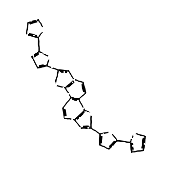 c1csc(-c2ccc(-c3cc4ccc5c(ccc6cc(-c7ccc(-c8cccs8)s7)sc65)c4s3)s2)c1